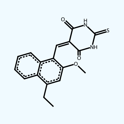 CCc1cc(OC)c(C=C2C(=O)NC(=S)NC2=O)c2ccccc12